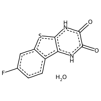 O.O=c1[nH]c2sc3cc(F)ccc3c2[nH]c1=O